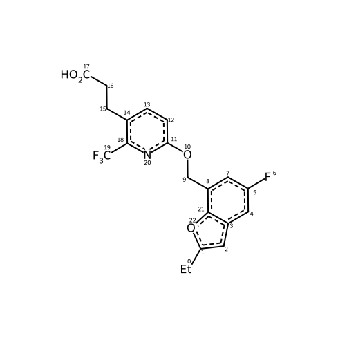 CCc1cc2cc(F)cc(COc3ccc(CCC(=O)O)c(C(F)(F)F)n3)c2o1